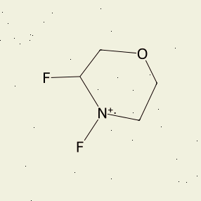 FC1COCC[N+]1F